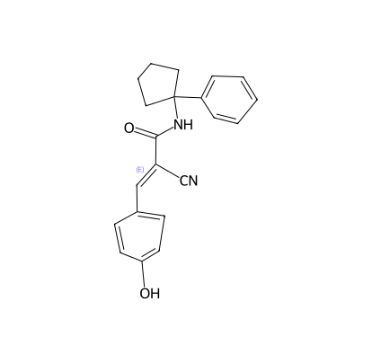 N#C/C(=C\c1ccc(O)cc1)C(=O)NC1(c2ccccc2)CCCC1